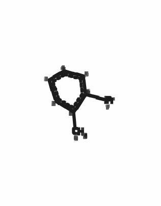 Cc1c[c]ccc1C(C)C